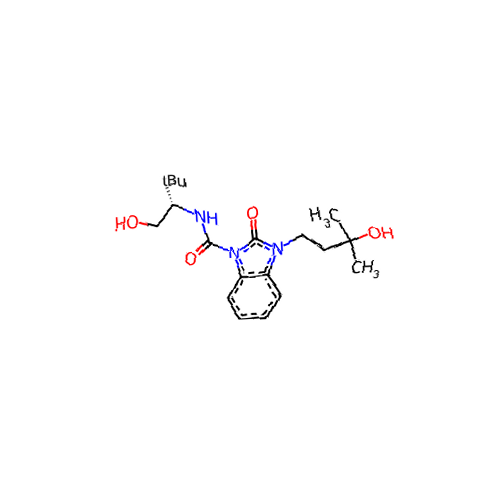 CC(C)(O)CCn1c(=O)n(C(=O)N[C@H](CO)C(C)(C)C)c2ccccc21